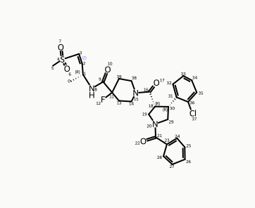 C[C@H](/C=C\S(C)(=O)=O)NC(=O)C1(F)CCN(C(=O)[C@H]2CN(C(=O)c3ccccc3)C[C@H]2c2ccccc2Cl)CC1